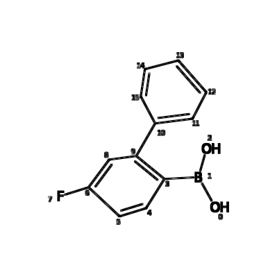 OB(O)c1ccc(F)cc1-c1ccccc1